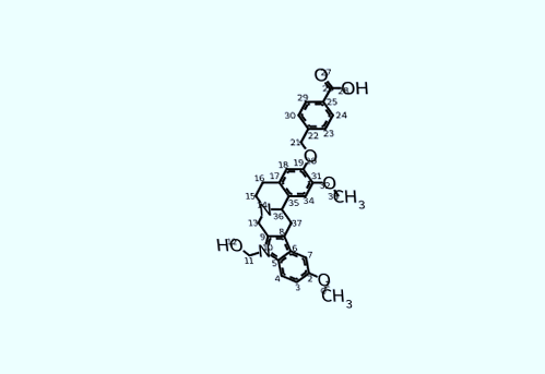 COc1ccc2c(c1)c1c(n2CO)CN2CCc3cc(OCc4ccc(C(=O)O)cc4)c(OC)cc3C2C1